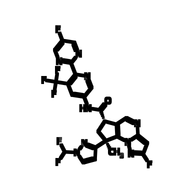 C[C@]1(c2ccn(C(F)F)n2)C[C@H](C(=O)Nc2cnc(-c3ncc(F)cn3)c(C(F)(F)F)c2)c2cnc3cc(F)nn3c21